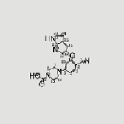 N#Cc1ccc(N2CCN(C(=O)O)CC2)cc1Oc1cnc2[nH]ccc2c1